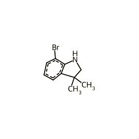 CC1(C)CNc2c(Br)cccc21